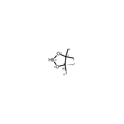 CC1(C)OBO[C@]1(C)I